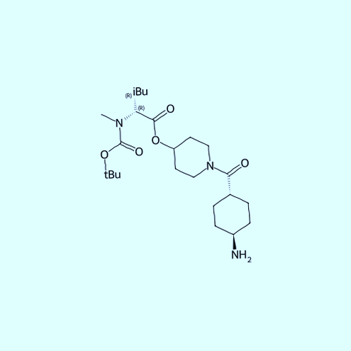 CC[C@@H](C)[C@H](C(=O)OC1CCN(C(=O)[C@H]2CC[C@H](N)CC2)CC1)N(C)C(=O)OC(C)(C)C